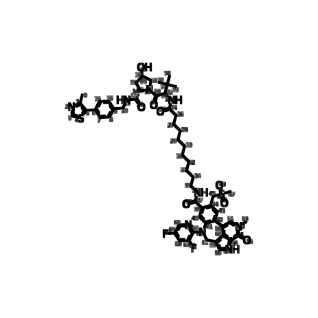 Cc1ncsc1-c1ccc(CNC(=O)[C@@H]2C[C@@H](O)CN2C(=O)[C@@H](NC(=O)CCCCCCCCCCNC(=O)c2cc3c(cc2CS(C)(=O)=O)-c2cn(C)c(=O)c4[nH]cc(c24)CN3c2ncc(F)cc2F)C(C)(C)C)cc1